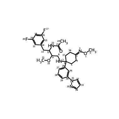 CON=C1CCC(NCC(OC)C(Cc2cc(F)cc(F)c2)NC(C)=O)(c2cccc(-n3cccn3)c2)CC1